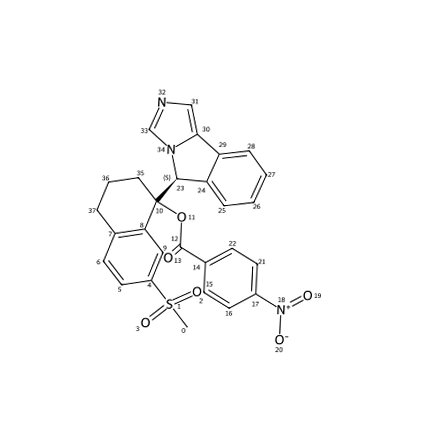 CS(=O)(=O)c1ccc2c(c1)C(OC(=O)c1ccc([N+](=O)[O-])cc1)([C@@H]1c3ccccc3-c3cncn31)CCC2